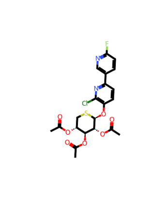 CC(=O)O[C@@H]1[C@@H](OC(C)=O)[C@H](OC(C)=O)CS[C@H]1Oc1ccc(-c2ccc(F)nc2)nc1Cl